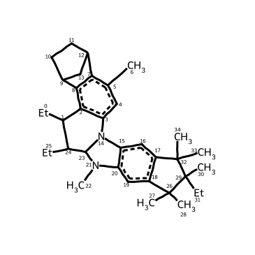 CCC1c2c(cc(C)c3c2C2CCC3C2)N2c3cc4c(cc3N(C)C2C1CC)C(C)(C)C(C)(CC)C4(C)C